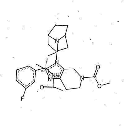 COC(=O)N1CCc2nc(C)n(C3CC4CCC(C3)N4CC[C@H](NC(C)=O)c3cccc(F)c3)c2C1